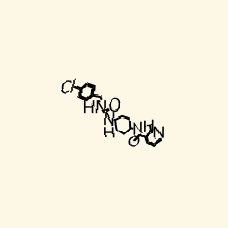 Cc1ncccc1C(=O)NC1CCC(NC(=O)NCc2ccc(Cl)cc2)CC1